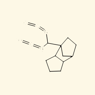 O=C=NC(N=C=O)C12CCC(C1)C1CCCC12